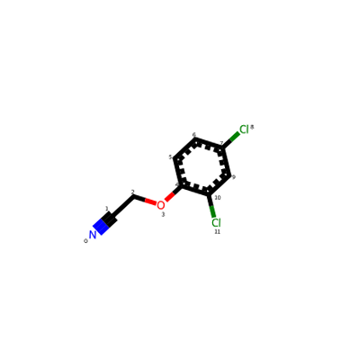 N#CCOc1[c]cc(Cl)cc1Cl